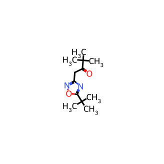 CC(C)(C)C(=O)Cc1noc(C(C)(C)C)n1